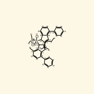 CCCC1=Cc2c(-c3ccccc3)ccc(C)c2[CH]1[Zr]([Cl])([Cl])([CH]1C(C(C)C)=Cc2c(-c3ccccc3)cccc21)[SiH](C)C